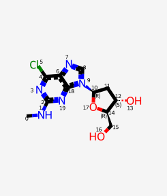 CNc1nc(Cl)c2ncn([C@H]3C[C@H](O)[C@@H](CO)O3)c2n1